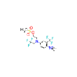 [C-]#[N+]c1ccc(N(CCOS(C)(=O)=O)CC(F)(F)F)cc1C(F)(F)F